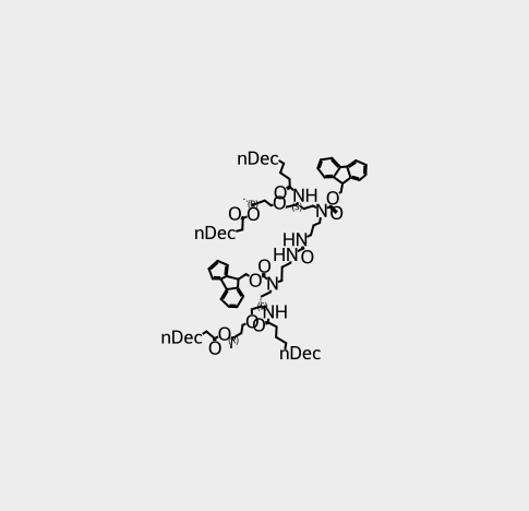 CCCCCCCCCCCCCC(=O)N[C@@H](CCN(CCCNC(=O)NCCCN(CC[C@@H](COCC[C@@H](C)OC(=O)CCCCCCCCCCC)NC(=O)CCCCCCCCCCCCC)C(=O)OCC1c2ccccc2-c2ccccc21)C(=O)OCC1c2ccccc2-c2ccccc21)COCC[C@@H](C)OC(=O)CCCCCCCCCCC